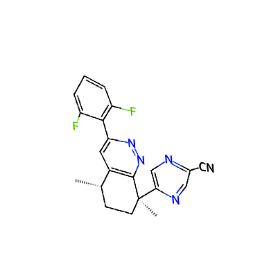 C[C@H]1CC[C@](C)(c2cnc(C#N)cn2)c2nnc(-c3c(F)cccc3F)cc21